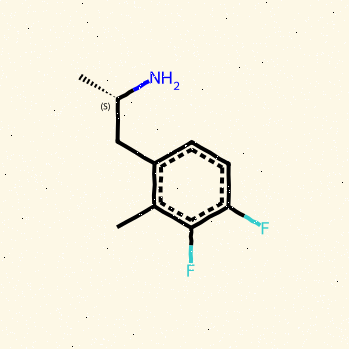 Cc1c(C[C@H](C)N)ccc(F)c1F